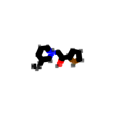 Cc1ccc[n+](CC(=O)c2cccs2)c1